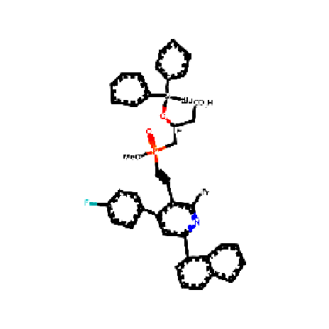 COP(=O)(C#Cc1c(-c2ccc(F)cc2)cc(-c2cccc3ccccc23)nc1C(C)C)C[C@H](CC(=O)O)O[Si](c1ccccc1)(c1ccccc1)C(C)(C)C